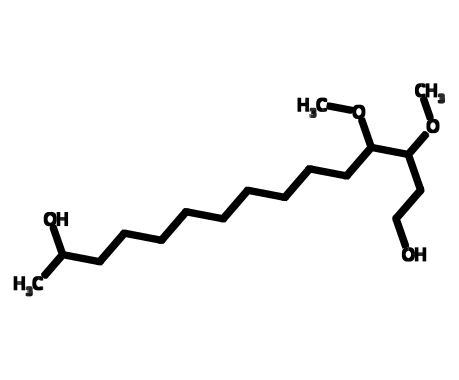 COC(CCO)C(CCCCCCCCCC(C)O)OC